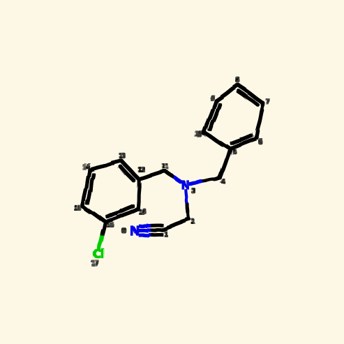 N#CCN(Cc1ccccc1)Cc1cccc(Cl)c1